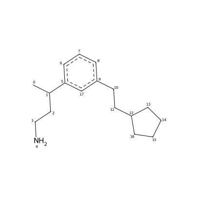 CC(CCN)c1cccc(CCC2CCCC2)c1